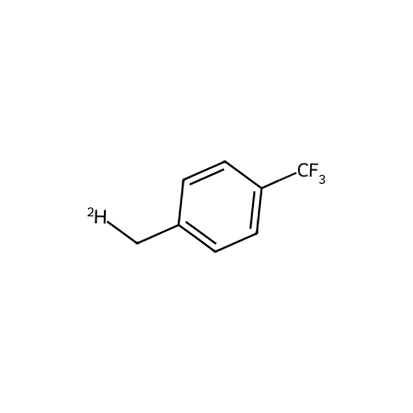 [2H]Cc1ccc(C(F)(F)F)cc1